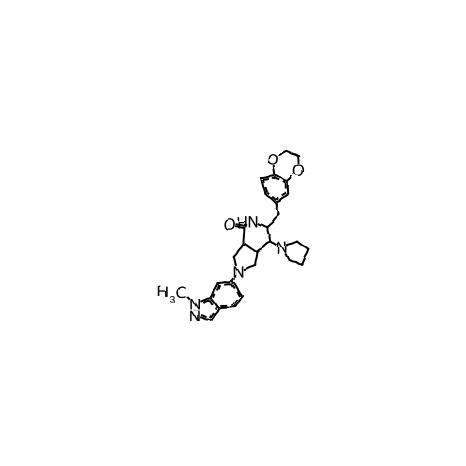 Cn1ncc2ccc(N3CC4C(=O)NC(Cc5ccc6c(c5)OCCO6)C(N5CCCC5)C4C3)cc21